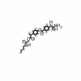 CCCCNC(=O)COC(=O)C(C)c1ccc(OC(=O)c2ccc(NC(=N)N)cc2)cc1